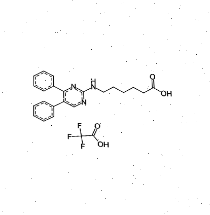 O=C(O)C(F)(F)F.O=C(O)CCCCCNc1ncc(-c2ccccc2)c(-c2ccccc2)n1